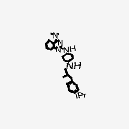 CC(CN[C@H]1CC[C@@H](Nc2nc(N(C)C)c3ccccc3n2)CC1)Cc1ccc(C(C)C)cc1